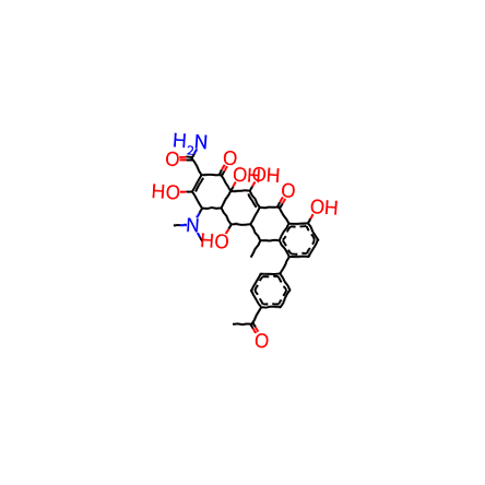 CC(=O)c1ccc(-c2ccc(O)c3c2C(C)C2C(=C(O)C4(O)C(=O)C(C(N)=O)=C(O)C(N(C)C)C4C2O)C3=O)cc1